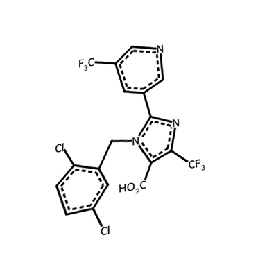 O=C(O)c1c(C(F)(F)F)nc(-c2cncc(C(F)(F)F)c2)n1Cc1cc(Cl)ccc1Cl